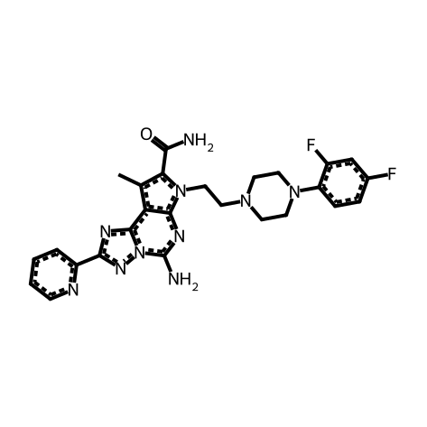 Cc1c(C(N)=O)n(CCN2CCN(c3ccc(F)cc3F)CC2)c2nc(N)n3nc(-c4ccccn4)nc3c12